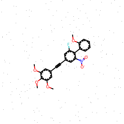 COc1ccccc1-c1c(F)cc(C#Cc2cc(OC)c(OC)c(OC)c2)cc1[N+](=O)[O-]